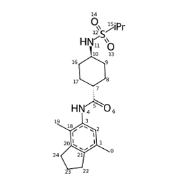 Cc1cc(NC(=O)[C@H]2CC[C@H](NS(=O)(=O)C(C)C)CC2)c(C)c2c1CCC2